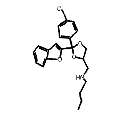 CCCCNCC1COC(c2ccc(Cl)cc2)(c2cc3ccccc3o2)O1